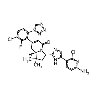 CC1(C)C[C@@H](c2ncc(-c3ccc(N)nc3Cl)[nH]2)N2C(=O)C=C(c3c(-n4cnnn4)ccc(Cl)c3F)C[C@H]21